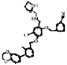 Cc1c(COc2cc(OCc3cccc(C#N)c3)c(CNC[C@H]3CCCN3)cc2Cl)cccc1-c1ccc2c(c1)OCCO2